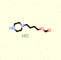 Cl.O=COCCCCN1CCNCC1